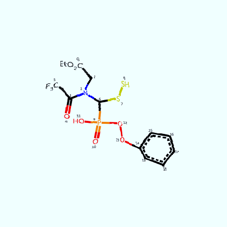 CCOC(=O)CN(C(=O)C(F)(F)F)C(SS)P(=O)(O)OOc1ccccc1